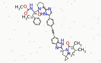 COC(=O)N[C@@H](C(=O)N1CCC[C@H]1c1ncc(-c2ccc(C#Cc3ccc4nc([C@@H]5CC6(CC6)CN5C(=O)[C@@H](C)C(C)C)[nH]c4c3)cc2)[nH]1)[C@@H](C)c1ccccc1